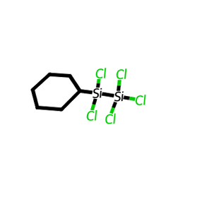 Cl[Si](Cl)(Cl)[Si](Cl)(Cl)C1CCCCC1